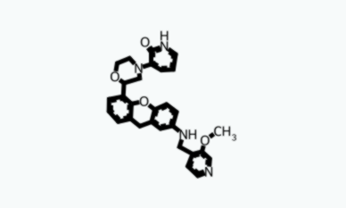 COc1cnccc1CNc1ccc2c(c1)Cc1cccc(C3CN(c4ccc[nH]c4=O)CCO3)c1O2